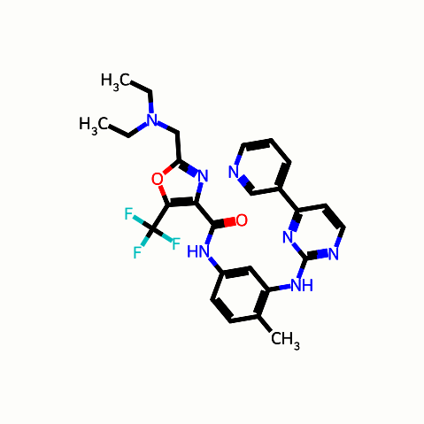 CCN(CC)Cc1nc(C(=O)Nc2ccc(C)c(Nc3nccc(-c4cccnc4)n3)c2)c(C(F)(F)F)o1